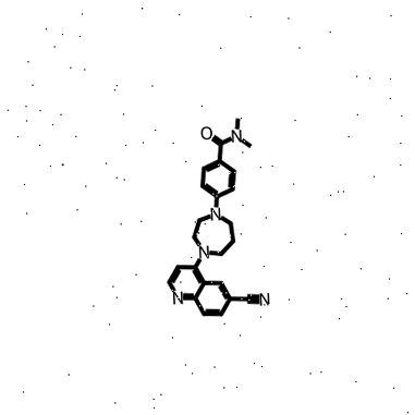 CN(C)C(=O)c1ccc(N2CCCN(c3ccnc4ccc(C#N)cc34)CC2)cc1